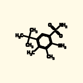 Cc1c(C(C)(C)C)cc(S(N)(=O)=O)c([SiH3])c1C